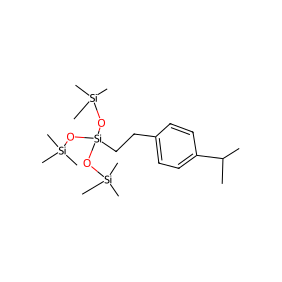 CC(C)c1ccc(CC[Si](O[Si](C)(C)C)(O[Si](C)(C)C)O[Si](C)(C)C)cc1